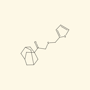 O=C(CSCc1cccs1)C12CC3CC(CC(C3)C1)C2